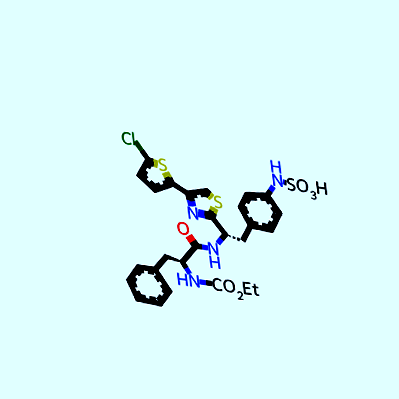 CCOC(=O)N[C@@H](Cc1ccccc1)C(=O)N[C@@H](Cc1ccc(NS(=O)(=O)O)cc1)c1nc(-c2ccc(Cl)s2)cs1